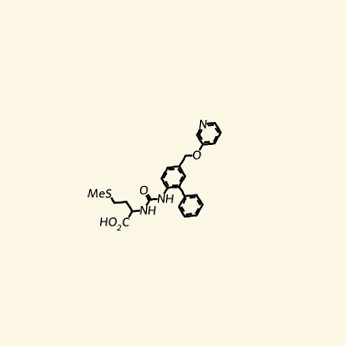 CSCCC(NC(=O)Nc1ccc(COc2cccnc2)cc1-c1ccccc1)C(=O)O